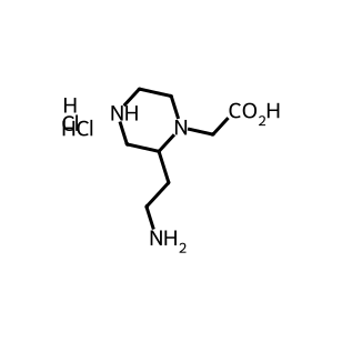 Cl.Cl.NCCC1CNCCN1CC(=O)O